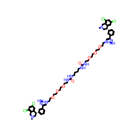 CN1Cc2c(Cl)cc(Cl)cc2[C@H](c2cccc(/C(=C/NCCOCCOCCOCCNC(=O)NCCCCNC(=O)NCCOCCOCCOCCN/C=C(\N=N)c3cccc([C@@H]4CN(C)Cc5c(Cl)cc(Cl)cc54)c3)N=N)c2)C1